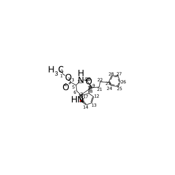 CCOC(=O)C1CC23C(=CCN1)C=CC=C2NCC3C(=O)CCc1ccccc1